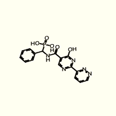 O=C(NC(c1ccccc1)P(=O)(O)O)c1cnc(-c2cccnn2)nc1O